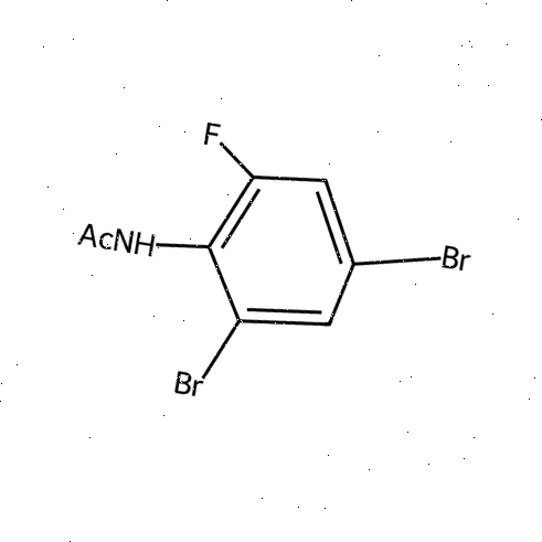 CC(=O)Nc1c(F)cc(Br)cc1Br